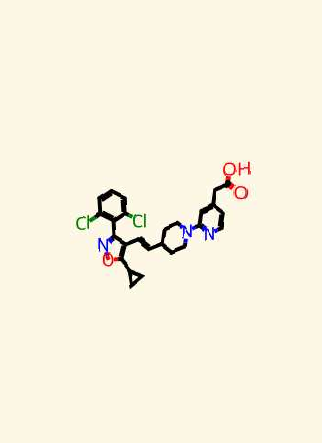 O=C(O)Cc1ccnc(N2CCC(C=Cc3c(-c4c(Cl)cccc4Cl)noc3C3CC3)CC2)c1